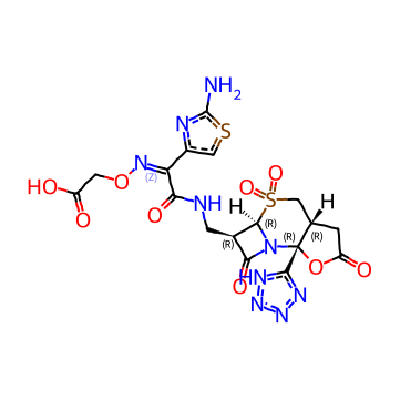 Nc1nc(/C(=N/OCC(=O)O)C(=O)NC[C@@H]2C(=O)N3[C@@H]2S(=O)(=O)C[C@@H]2CC(=O)O[C@@]23c2nnn[nH]2)cs1